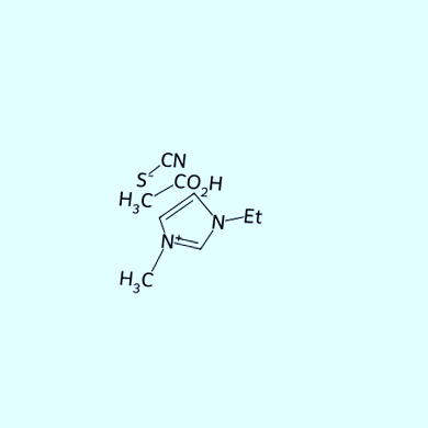 CC(=O)O.CCn1cc[n+](C)c1.N#C[S-]